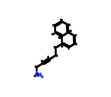 NCC#CCCc1cccc2ccccc12